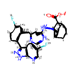 O=C(O)C1C2CCC(CC2)C1Nc1cc(-c2cc(F)ccc2-c2n[nH]c3ncc(F)cc23)ncn1